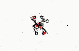 O=CC(O)(CCON(Cc1ccccc1)Cc1ccccc1)C(C(O)(C=O)CCON(Cc1ccccc1)Cc1ccccc1)(C(O)(C=O)CCON(Cc1ccccc1)Cc1ccccc1)C(O)(C=O)CCON(Cc1ccccc1)Cc1ccccc1